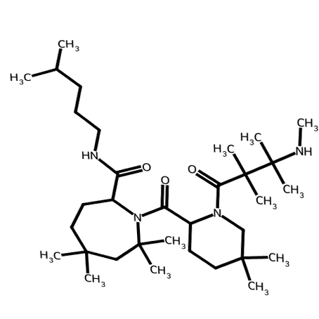 CNC(C)(C)C(C)(C)C(=O)N1CC(C)(C)CCC1C(=O)N1C(C(=O)NCCCC(C)C)CCC(C)(C)CC1(C)C